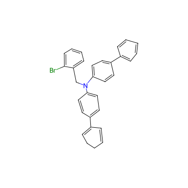 Brc1ccccc1CN(c1ccc(C2=CCCC=C2)cc1)c1ccc(-c2ccccc2)cc1